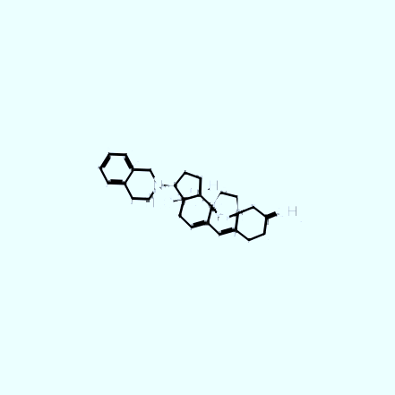 C=C1CCC2=CC3=CC[C@]4(C)[C@@H](N5CCc6ccccc6C5)CC[C@H]4[C@@]34CC[C@]2(C1)O4